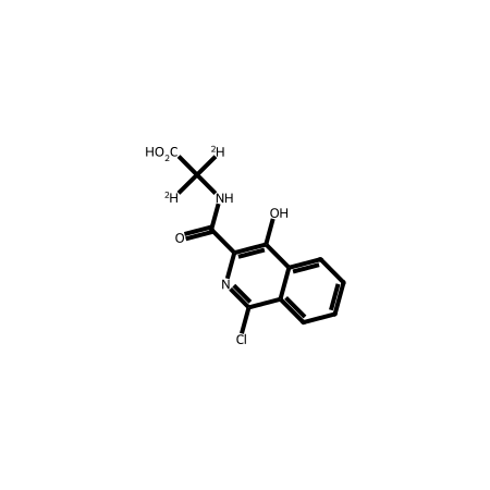 [2H]C([2H])(NC(=O)c1nc(Cl)c2ccccc2c1O)C(=O)O